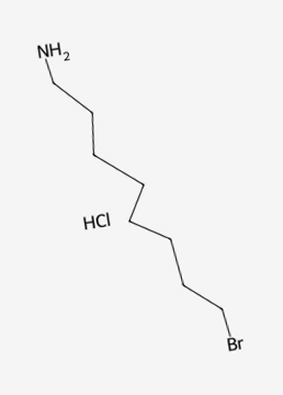 Cl.NCCCCCCCCBr